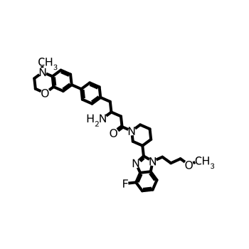 COCCCn1c(C2CCCN(C(=O)CC(N)Cc3ccc(-c4ccc5c(c4)OCCN5C)cc3)C2)nc2c(F)cccc21